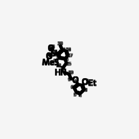 CCOc1ccccc1OCCN[C@H](CSC)Cc1ccc(C)c([SH](=O)=O)c1